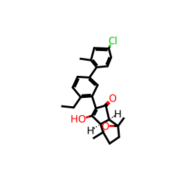 CCc1ccc(-c2ccc(Cl)cc2C)cc1C1=C(O)[C@H]2[C@@H](C1=O)C1(C)CCC2(C)O1